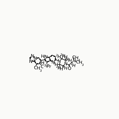 [2H]C([2H])(C(=O)N1C([2H])([2H])C([2H])([2H])N(c2ccc3[nH]c(-c4cn5ncnc5c(C)c4C)c(C(C)C)c3n2)C([2H])([2H])C1([2H])[2H])N(C)C